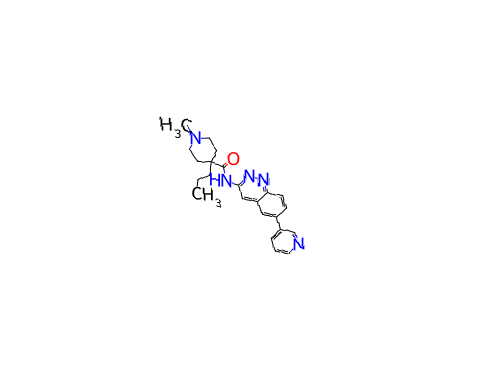 CCCC1(C(=O)Nc2cc3cc(-c4cccnc4)ccc3nn2)CCN(C)CC1